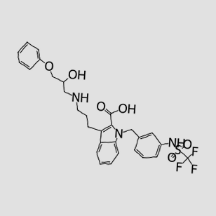 O=C(O)c1c(CCCNCC(O)COc2ccccc2)c2ccccc2n1Cc1cccc(NS(=O)(=O)C(F)(F)F)c1